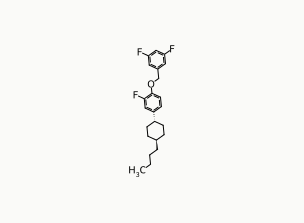 CCCC[C@H]1CC[C@H](c2ccc(OCc3cc(F)cc(F)c3)c(F)c2)CC1